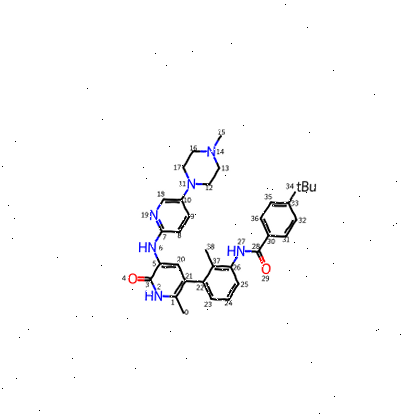 Cc1[nH]c(=O)c(Nc2ccc(N3CCN(C)CC3)cn2)cc1-c1cccc(NC(=O)c2ccc(C(C)(C)C)cc2)c1C